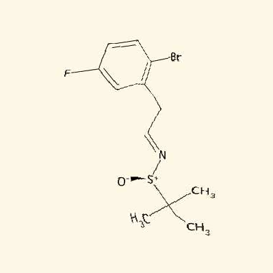 CC(C)(C)[S@@+]([O-])/N=C/Cc1cc(F)ccc1Br